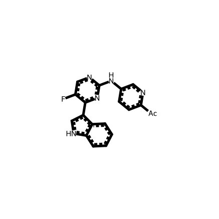 CC(=O)c1ccc(Nc2ncc(F)c(-c3c[nH]c4ccccc34)n2)cn1